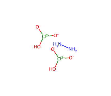 NN.[O-][Cl+2]([O-])O.[O-][Cl+2]([O-])O